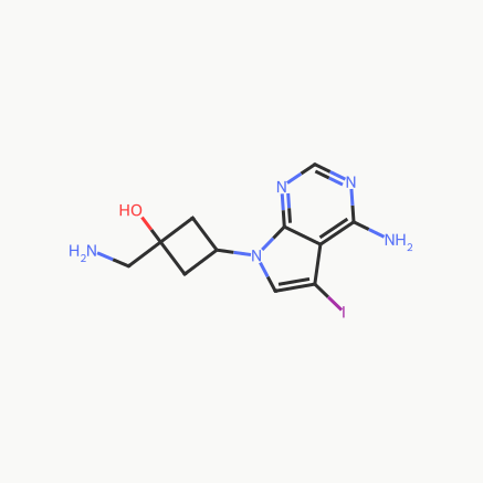 NCC1(O)CC(n2cc(I)c3c(N)ncnc32)C1